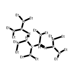 CCN(CC)P(/N=[PH](\N(CC)CC)[S+](N(CC)CC)/[PH](=N/P(N(CC)CC)N(CC)CC)N(CC)CC)N(CC)CC